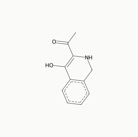 CC(=O)C1=C(O)c2ccccc2CN1